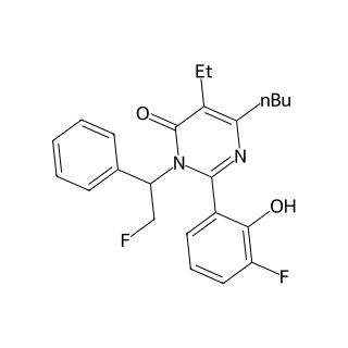 CCCCc1nc(-c2cccc(F)c2O)n(C(CF)c2ccccc2)c(=O)c1CC